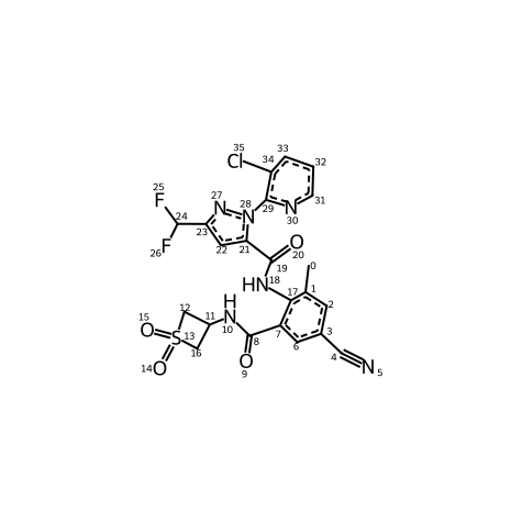 Cc1cc(C#N)cc(C(=O)NC2CS(=O)(=O)C2)c1NC(=O)c1cc(C(F)F)nn1-c1ncccc1Cl